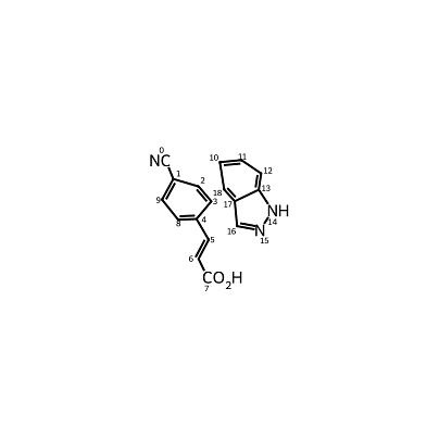 N#Cc1ccc(C=CC(=O)O)cc1.c1ccc2[nH]ncc2c1